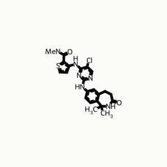 CNC(=O)c1sccc1Nc1nc(Nc2ccc3c(c2)CCC(=O)NC3(C)C)ncc1Cl